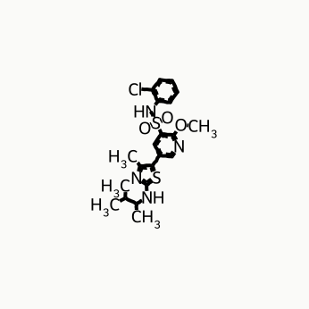 COc1ncc(-c2sc(NC(C)C(C)C)nc2C)cc1S(=O)(=O)Nc1ccccc1Cl